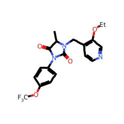 CCOc1cnccc1CN1C(=O)N(c2ccc(OC(F)(F)F)cc2)C(=O)C1C